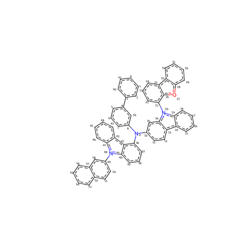 c1ccc(-c2cccc(N(c3ccc4c5ccccc5n(-c5cccc6c5oc5ccccc56)c4c3)c3cccc4c3c3ccccc3n4-c3ccc4ccccc4c3)c2)cc1